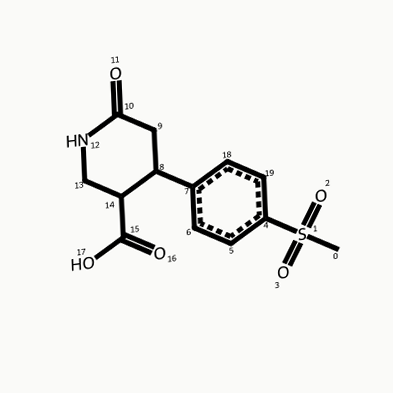 CS(=O)(=O)c1ccc(C2CC(=O)NCC2C(=O)O)cc1